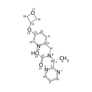 C[C@H](c1ncccn1)N(Cc1ccc(OC2COC2)cn1)C(=O)O